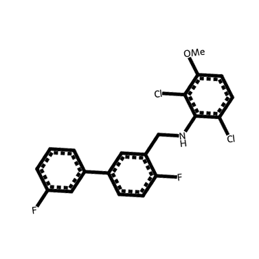 COc1ccc(Cl)c(NCc2cc(-c3cccc(F)c3)ccc2F)c1Cl